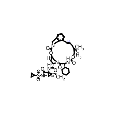 C=C[C@@H]1C[C@]1(NC(=O)[C@@H]1C[C@@H]2CN1C(=O)[C@H](C1CCCCC1)NC(=O)OCC(C)(C)C/C=C/c1cccc3c1CN(C3)C(=O)O2)C(=O)NS(=O)(=O)C1CC1